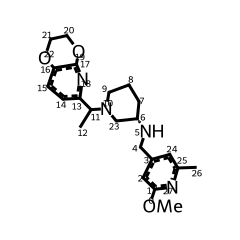 COc1cc(CN[C@H]2CCCN(C(C)c3ccc4c(n3)OCCO4)C2)cc(C)n1